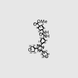 COC(=O)c1ccc(NC(=O)Nc2ccc(-c3nc(C4=CCOCC4)nc(N4CCOCC4)n3)cc2)cc1